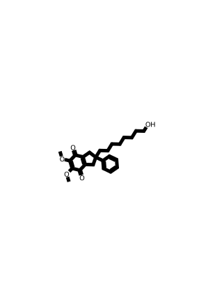 COC1=C(OC)C(=O)C2=C(CC(CCCCCCCCO)(c3ccccc3)C2)C1=O